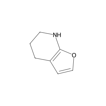 c1cc2c(o1)NCCC2